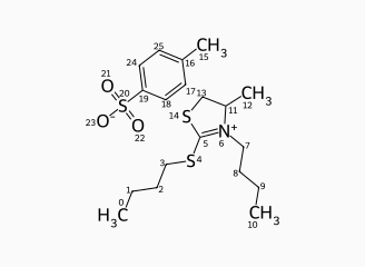 CCCCSC1=[N+](CCCC)C(C)CS1.Cc1ccc(S(=O)(=O)[O-])cc1